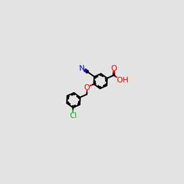 N#Cc1cc(C(=O)O)ccc1OCc1cccc(Cl)c1